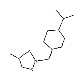 CC1CSN(CC2CCC(C(C)C)CC2)C1